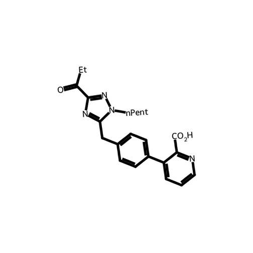 CCCCCn1nc(C(=O)CC)nc1Cc1ccc(-c2cccnc2C(=O)O)cc1